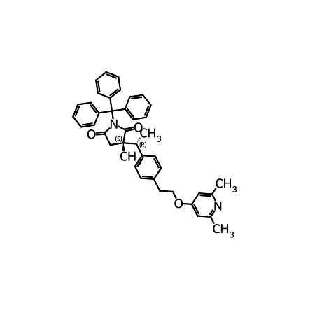 Cc1cc(OCCc2ccc([C@@H](C)[C@]3(C)CC(=O)N(C(c4ccccc4)(c4ccccc4)c4ccccc4)C3=O)cc2)cc(C)n1